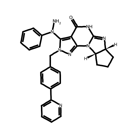 NN(c1ccccc1)c1c2c(nn1Cc1ccc(-c3ccccn3)cc1)N1C(=N[C@@H]3CCC[C@@H]31)NC2=O